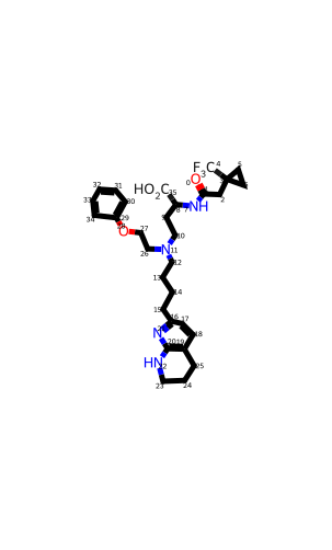 O=C(CC1(C(F)(F)F)CC1)NC(CCN(CCCCc1ccc2c(n1)NCCC2)CCOc1ccccc1)C(=O)O